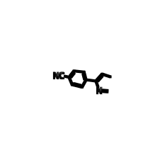 C=N/C(=C\C)c1ccc(C#N)cc1